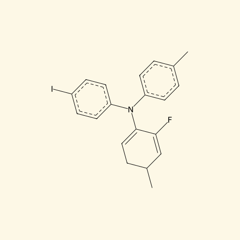 Cc1ccc(N(C2=CCC(C)C=C2F)c2ccc(I)cc2)cc1